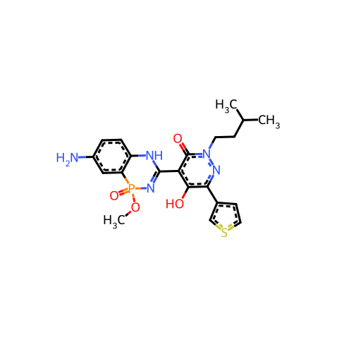 COP1(=O)N=C(c2c(O)c(-c3ccsc3)nn(CCC(C)C)c2=O)Nc2ccc(N)cc21